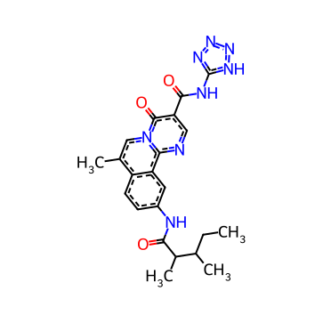 CCC(C)C(C)C(=O)Nc1ccc2c(C)cn3c(=O)c(C(=O)Nc4nnn[nH]4)cnc3c2c1